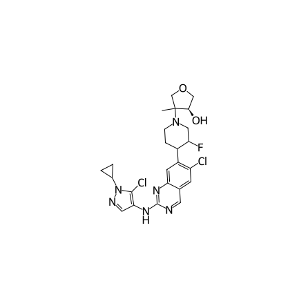 CC1(N2CCC(c3cc4nc(Nc5cnn(C6CC6)c5Cl)ncc4cc3Cl)C(F)C2)COC[C@H]1O